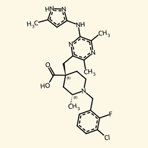 Cc1cc(Nc2nc(C[C@@]3(C(=O)O)CCN(Cc4cccc(Cl)c4F)[C@H](C)C3)c(C)nc2C)n[nH]1